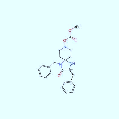 CC(C)(C)OC(=O)ON1CCC2(CC1)N[C@@H](Cc1ccccc1)C(=O)N2Cc1ccccc1